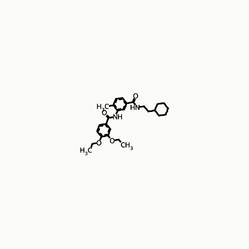 CCOc1ccc(C(=O)Nc2cc(C(=O)NCCC3CCCCC3)ccc2C)cc1OCC